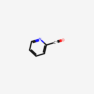 O=[C+]c1ccccn1